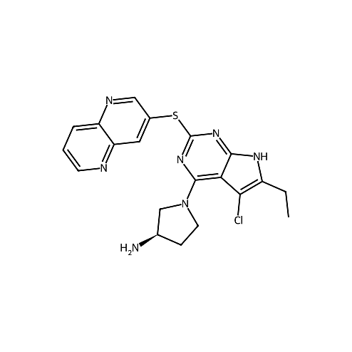 CCc1[nH]c2nc(Sc3cnc4cccnc4c3)nc(N3CC[C@@H](N)C3)c2c1Cl